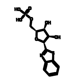 O=P(O)(O)OC[C@H]1O[C@@H](c2nc3ccccc3s2)[C@H](O)[C@H]1O